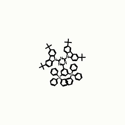 CC(C)(C)c1ccc2c(c1)c1cc(C(C)(C)C)ccc1n2-c1nc(-c2cc([Si](c3ccccc3)(c3ccccc3)c3ccccc3)cc([Si](c3ccccc3)(c3ccccc3)c3ccccc3)c2)nc(-n2c3ccc(C(C)(C)C)cc3c3cc(C(C)(C)C)ccc32)n1